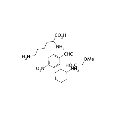 COCC(=O)O.NC1CCCCC1.NCCCCC(N)C(=O)O.O=Cc1ccc([N+](=O)[O-])cc1